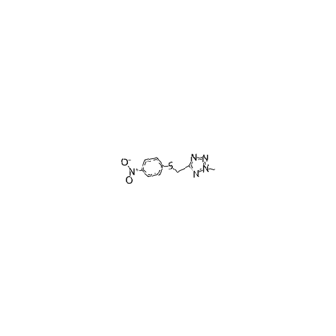 Cn1nnc(CSc2ccc([N+](=O)[O-])cc2)n1